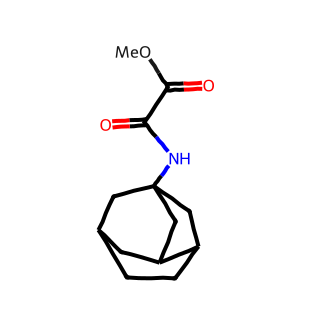 COC(=O)C(=O)NC12CC3CCC(C1)C(C3)C2